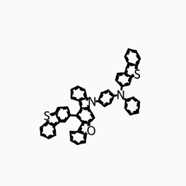 c1ccc(N(c2ccc(-n3c4ccccc4c4c(-c5ccc6sc7ccccc7c6c5)c5c(cc43)oc3ccccc35)cc2)c2ccc3c(c2)sc2ccccc23)cc1